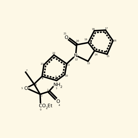 CCOC(=O)C1(C(N)=O)OC1(C)c1ccc(N2Cc3ccccc3C2=O)cc1